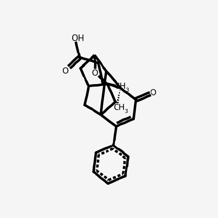 CC12CC34CC1CC(O2)C3[C@](C)(CCC(=O)O)C(=O)C=C4c1ccccc1